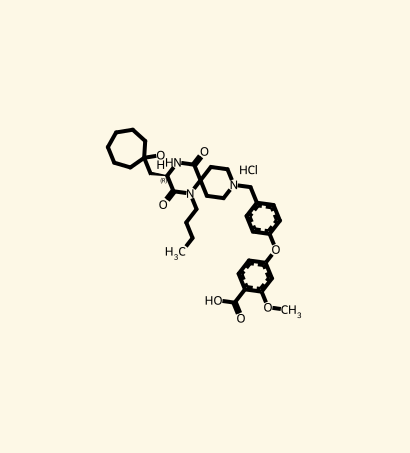 CCCCN1C(=O)[C@@H](CC2(O)CCCCCC2)NC(=O)C12CCN(Cc1ccc(Oc3ccc(C(=O)O)c(OC)c3)cc1)CC2.Cl